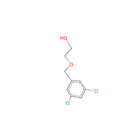 OCCOCc1[c]c(Cl)cc(Cl)c1